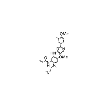 C=CC(=O)Nc1cc(Nc2ncnc(-c3ccc(OC)c(C)c3)n2)c(OC)cc1N(C)CCN(C)C